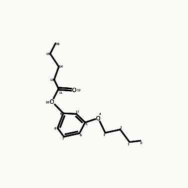 CCCCOc1cccc(OC(=O)CCCC)c1